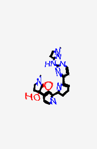 CN1CC[C@@](O)(c2ccnc(-c3cccc(-c4ccnc(Nc5ccn(C)n5)n4)n3)c2)C1=O